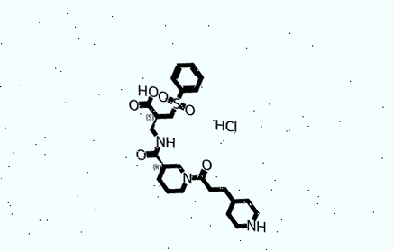 Cl.O=C(O)[C@H](CNC(=O)[C@@H]1CCCN(C(=O)CCC2CCNCC2)C1)CS(=O)(=O)c1ccccc1